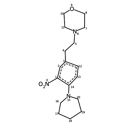 O=[N+]([O-])c1cc(CCN2CCOCC2)ccc1N1CCCCC1